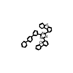 C1=Cc2sc3cccc(-c4nc(-c5cccc(-c6ccc(-c7ccccc7)cc6)c5)nc(-c5cccc6c5oc5ccccc56)n4)c3c2CC1